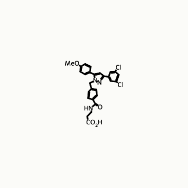 COc1ccc(-c2cc(-c3cc(Cl)cc(Cl)c3)nn2Cc2ccc(C(=O)NCCC(=O)O)cc2)cc1